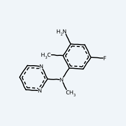 Cc1c(N)cc(F)cc1N(C)c1ncccn1